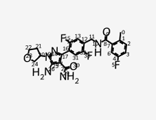 Cc1ccc(F)cc1C(=O)NCc1cc(F)c(-c2nn(C3CCOC3)c(N)c2C(N)=O)cc1F